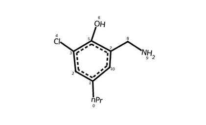 CCCc1cc(Cl)c(O)c(CN)c1